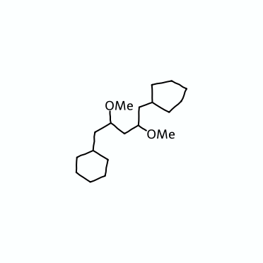 COC(CC1CCCCC1)CC(CC1CCCCC1)OC